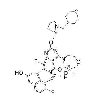 C#Cc1c(F)ccc2cc(O)cc(-c3nc(OC)c4c(N5CCOC[C@@](C)(O)C5)nc(OC[C@@H]5CCCN5CC5CCOCC5)nc4c3F)c12